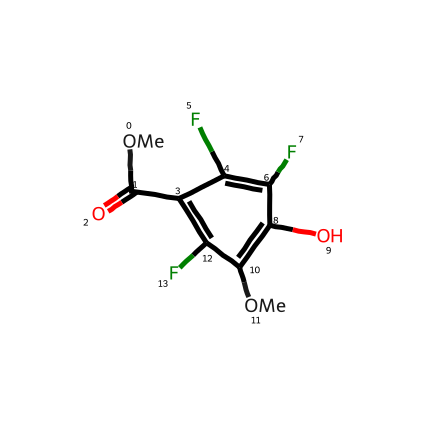 COC(=O)c1c(F)c(F)c(O)c(OC)c1F